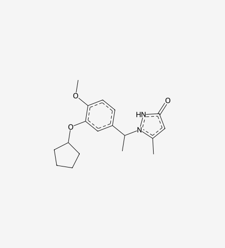 COc1ccc(C(C)n2[nH]c(=O)cc2C)cc1OC1CCCC1